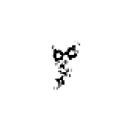 CC(C)c1cc(F)cc(-c2ccnc(C#N)c2)c1NC(=O)NS(=O)(=O)C1CN(C(C)C)C1